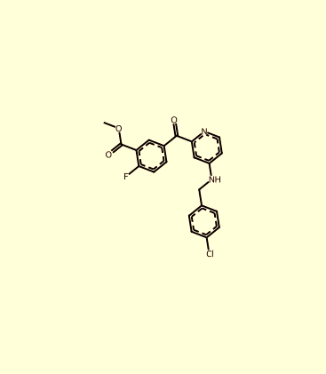 COC(=O)c1cc(C(=O)c2cc(NCc3ccc(Cl)cc3)ccn2)ccc1F